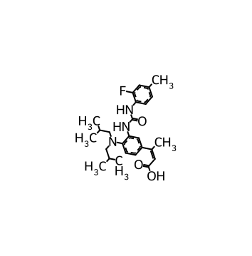 C/C(=C/C(=O)O)c1ccc(N(CC(C)C)CC(C)C)c(NC(=O)Nc2ccc(C)cc2F)c1